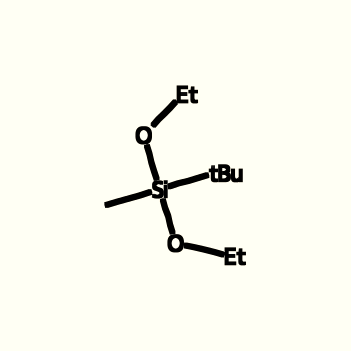 CCO[Si](C)(OCC)C(C)(C)C